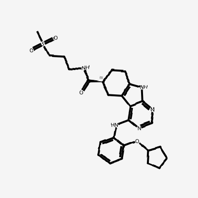 CS(=O)(=O)CCCNC(=O)[C@H]1CCc2[nH]c3ncnc(Nc4ccccc4OC4CCCC4)c3c2C1